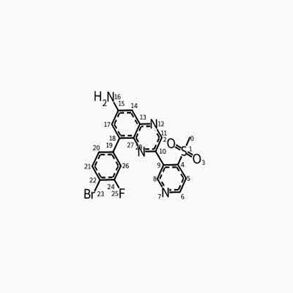 CS(=O)(=O)c1ccncc1-c1cnc2cc(N)cc(-c3ccc(Br)c(F)c3)c2n1